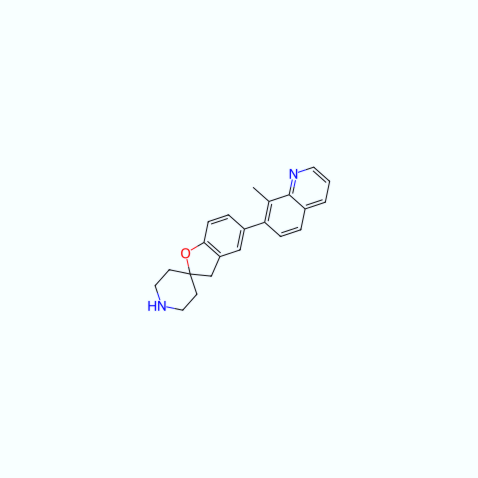 Cc1c(-c2ccc3c(c2)CC2(CCNCC2)O3)ccc2cccnc12